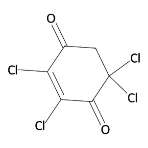 O=C1CC(Cl)(Cl)C(=O)C(Cl)=C1Cl